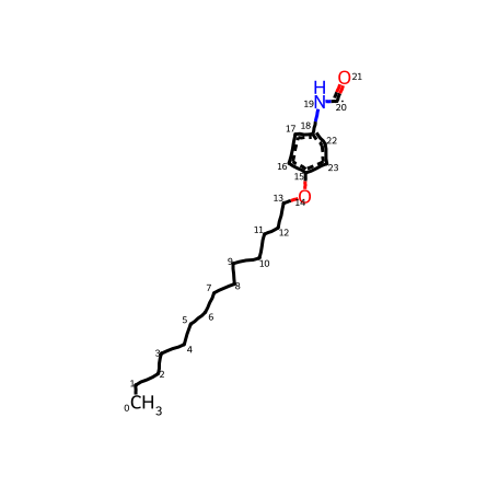 CCCCCCCCCCCCCCOc1ccc(N[C]=O)cc1